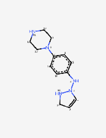 C1=CN(Nc2ccc(N3CCNCC3)cc2)NC1